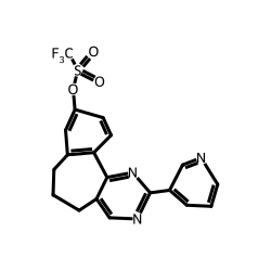 O=S(=O)(Oc1ccc2c(c1)CCCc1cnc(-c3cccnc3)nc1-2)C(F)(F)F